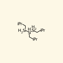 CC(C)C[SiH2][SiH](CC(C)C)[SiH2]CC(C)C